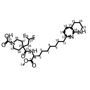 COC(=O)[C@H](CCCCCCCc1ccc2c(n1)NCCC2)NC(=O)C1(CC(F)F)CCN(C(=O)O)CC1